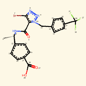 C[C@H](NC(=O)c1c(Br)nnn1Cc1ccc(C(F)(F)F)cc1)c1ccc(C(=O)O)cc1